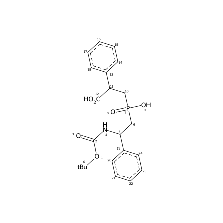 CC(C)(C)OC(=O)NC(CP(=O)(O)CC(C(=O)O)c1ccccc1)c1ccccc1